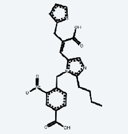 CCCCc1ncc(C=C(Cc2cccs2)C(=O)O)n1Cc1ccc(C(=O)O)cc1[N+](=O)[O-]